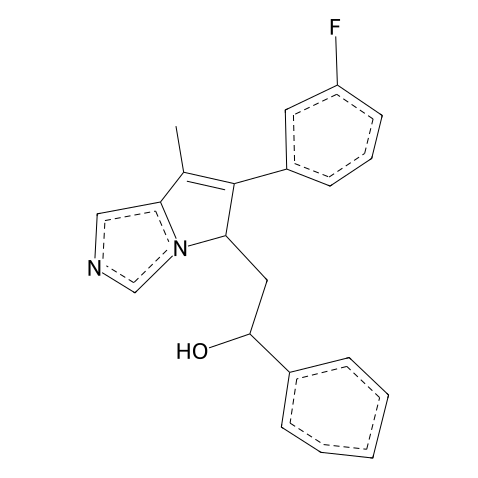 CC1=C(c2cccc(F)c2)C(CC(O)c2ccccc2)n2cncc21